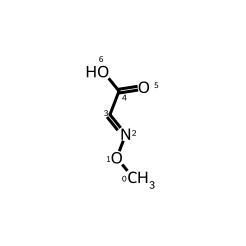 CON=CC(=O)O